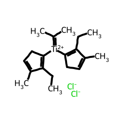 CCC1=[C]([Ti+2]([C]2=C(CC)C(C)=CC2)=[C](C)C)CC=C1C.[Cl-].[Cl-]